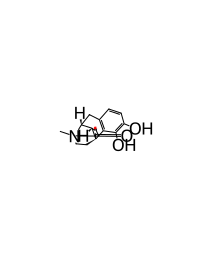 CN1CC[C@]23CC(=O)C=C[C@H]2[C@H]1Cc1ccc(O)c(O)c13